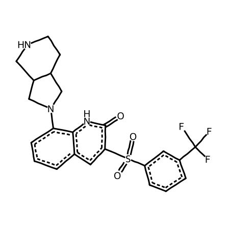 O=c1[nH]c2c(N3CC4CCNCC4C3)cccc2cc1S(=O)(=O)c1cccc(C(F)(F)F)c1